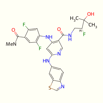 CNC(=O)c1cc(F)c(Nc2cc(Nc3ccc4ncsc4c3)ncc2C(=O)NC[C@@H](F)C(C)(C)O)cc1F